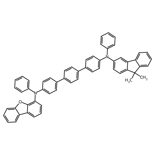 CC1(C)c2ccccc2-c2cc(N(c3ccccc3)c3ccc(-c4ccc(-c5ccc(N(c6ccccc6)c6cccc7c6oc6ccccc67)cc5)cc4)cc3)ccc21